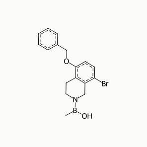 CB(O)N1CCc2c(OCc3ccccc3)ccc(Br)c2C1